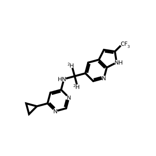 [2H]C([2H])(Nc1cc(C2CC2)ncn1)c1cnc2[nH]c(C(F)(F)F)cc2c1